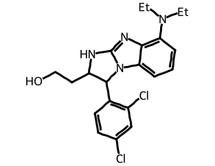 CCN(CC)c1cccc2c1nc1n2C(c2ccc(Cl)cc2Cl)C(CCO)N1